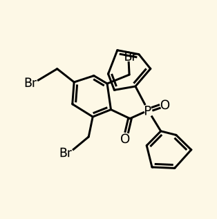 O=C(c1c(CBr)cc(CBr)cc1CBr)P(=O)(c1ccccc1)c1ccccc1